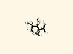 CNC(C(OI)[C@@H](C)O)[C@@H](OC)C(C)C